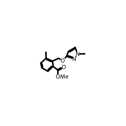 COC(=O)c1cccc(C)c1COc1ccn(C)n1